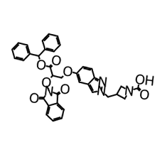 O=C(OC(c1ccccc1)c1ccccc1)C(COc1ccc2nn(CC3CN(C(=O)O)C3)cc2c1)ON1C(=O)c2ccccc2C1=O